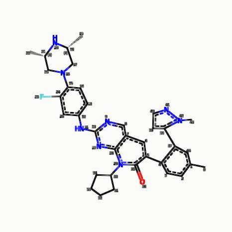 Cc1ccc(-c2cc3cnc(Nc4ccc(N5C[C@@H](C)N[C@@H](C)C5)c(F)c4)nc3n(C3CCCC3)c2=O)c(-c2ccnn2C)c1